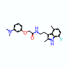 Cc1[nH]c2c(F)ccc(C)c2c1CCNC(=O)COc1cccc(N(C)C)c1